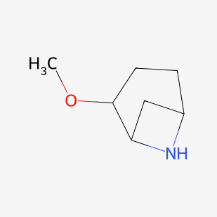 COC1CCC2CC1N2